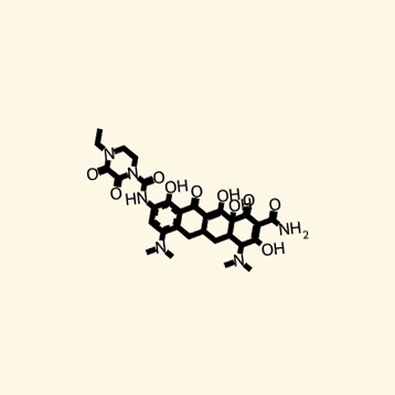 CCN1CCN(C(=O)Nc2cc(N(C)C)c3c(c2O)C(=O)C2=C(O)C4(O)C(=O)C(C(N)=O)=C(O)C(N(C)C)C4CC2C3)C(=O)C1=O